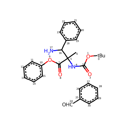 CC(C)(C)OC(=O)NC(C)(C(=O)Oc1ccccc1)C(N)c1ccccc1.O=Cc1ccccc1